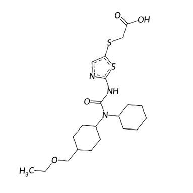 CCOCC1CCC(N(C(=O)Nc2ncc(SCC(=O)O)s2)C2CCCCC2)CC1